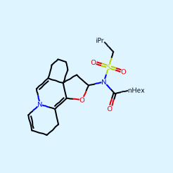 CCCCCCC(=O)N(C1CC23CCCCC2=CN2C=CCCC2=C3O1)S(=O)(=O)CC(C)C